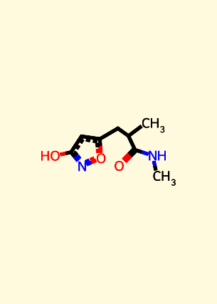 CNC(=O)C(C)Cc1cc(O)no1